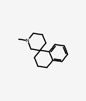 CN1CCCC2(CCCc3ccccc32)C1